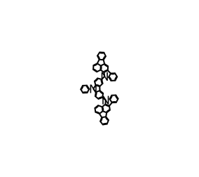 c1ccc(-n2c3ccc(-n4c5ccccc5c5cc6c7c(cccc7c54)-c4ccccc4-6)cc3c3cc(-n4c5ccccc5c5cc6c7c(cccc7c54)-c4ccccc4-6)ccc32)cc1